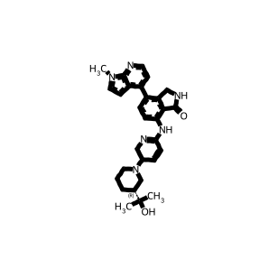 Cn1ccc2c(-c3ccc(NC4=NCC(N5CCC[C@@H](C(C)(C)O)C5)C=C4)c4c3CNC4=O)ccnc21